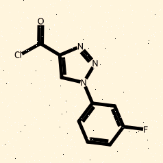 O=C(Cl)c1cn(-c2cccc(F)c2)nn1